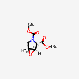 CC(C)(C)OC(=O)[C@@H]1[C@H]2O[C@H]2CN1C(=O)OC(C)(C)C